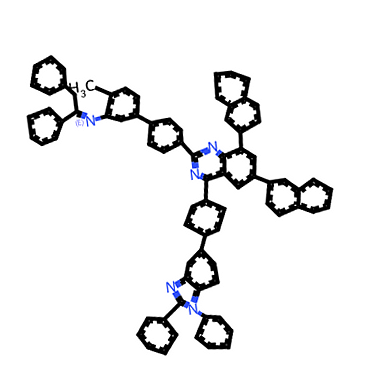 Cc1ccc(-c2ccc(-c3nc(-c4ccc(-c5ccc6c(c5)nc(-c5ccccc5)n6-c5ccccc5)cc4)c4cc(-c5ccc6ccccc6c5)cc(-c5ccc6ccccc6c5)c4n3)cc2)cc1/N=C(\Cc1ccccc1)c1ccccc1